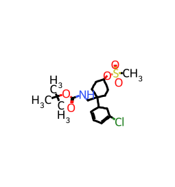 CC(C)(C)OC(=O)NCC1(C2C=CC=C(Cl)C2)CCC(OS(C)(=O)=O)CC1